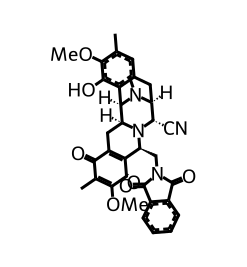 COC1=C(C)C(=O)C2=C(C1=O)[C@H](CN1C(=O)c3ccccc3C1=O)N1[C@@H](C#N)[C@@H]3Cc4cc(C)c(OC)c(O)c4[C@H]([C@@H]1C2)N3C